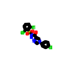 O=C(NS(=O)(=O)c1c(Cl)cccc1Cl)c1cn(-c2ccc(Cl)cc2)cn1